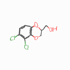 OCC1COc2c(ccc(Cl)c2Cl)O1